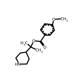 COc1ccc(C(=O)OC(C)(C)C2CCNCC2)cc1